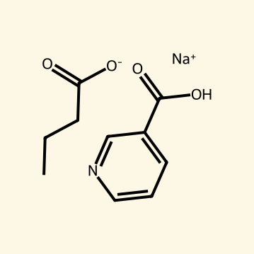 CCCC(=O)[O-].O=C(O)c1cccnc1.[Na+]